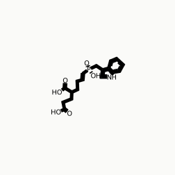 O=C(O)CCC(CCC=CP(=O)(O)Cc1c[nH]c2ccccc12)C(=O)O